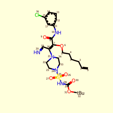 C=CCCCCO/C(C(=O)Nc1cccc(Cl)c1)=C(/C=N)N1CCN(S(=O)(=O)NC(=O)OC(C)(C)C)CC1